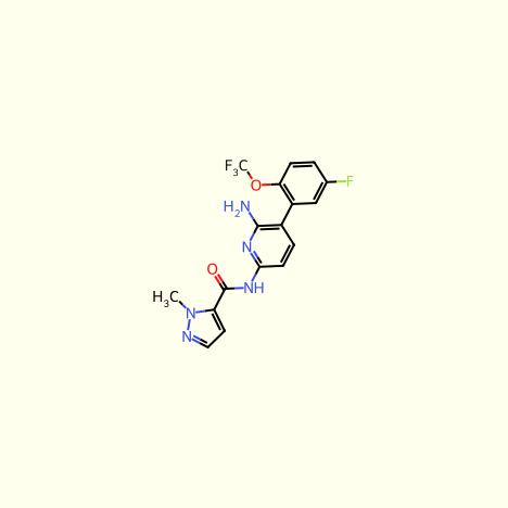 Cn1nccc1C(=O)Nc1ccc(-c2cc(F)ccc2OC(F)(F)F)c(N)n1